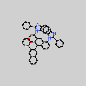 c1ccc(-c2cc3ccccc3cc2-c2c3cccc(-n4c(-c5ccccc5)nc5ccccc54)c3cc3c(-n4c(-c5ccccc5)nc5ccccc54)cccc23)cc1